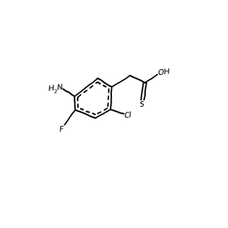 Nc1cc(CC(O)=S)c(Cl)cc1F